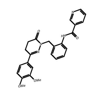 COc1ccc(C2=NN(Cc3ccccc3NC(=O)c3cccnc3)C(=O)CC2)cc1OC